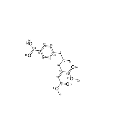 COC(=O)/C=C(/CC(C)Cc1ccc(C(=O)O)cc1)C(=O)OC